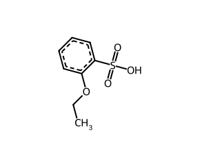 CCOc1ccccc1S(=O)(=O)O